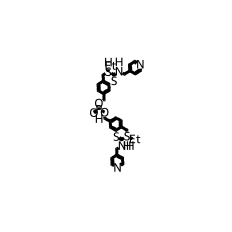 CC[SH](Cc1ccc(CO[PH](=O)OCc2ccc(C[SH](CC)C(=S)NCc3ccncc3)cc2)cc1)C(=S)NCc1ccncc1